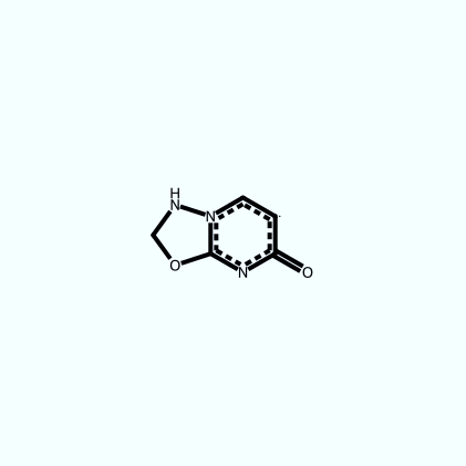 O=c1[c]cn2c(n1)OCN2